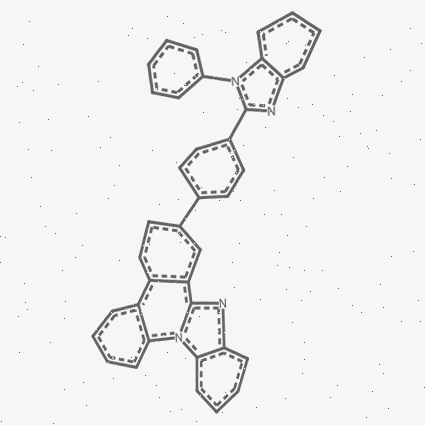 c1ccc(-n2c(-c3ccc(-c4ccc5c6ccccc6n6c7ccccc7nc6c5c4)cc3)nc3ccccc32)cc1